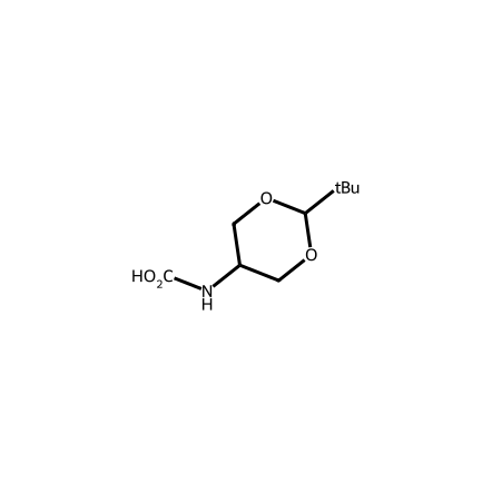 CC(C)(C)C1OCC(NC(=O)O)CO1